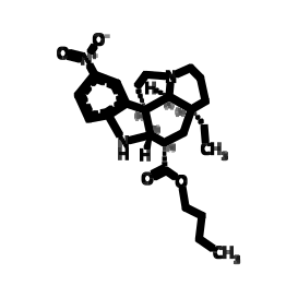 CCCCOC(=O)[C@H]1C[C@]2(CC)CCCN3CC[C@]4(c5cc([N+](=O)[O-])ccc5N[C@@H]14)[C@@H]32